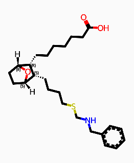 O=C(O)CCCCCC[C@@H]1[C@H](CCCCSCNCc2ccccc2)[C@@H]2CC[C@H]1O2